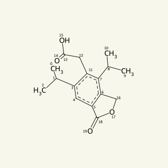 CC(C)c1cc2c(c(C(C)C)c1CC(=O)O)COC2=O